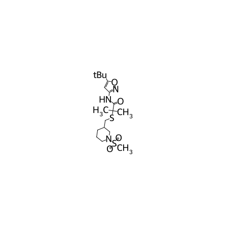 CC(C)(SCC1CCCN(S(C)(=O)=O)C1)C(=O)Nc1cc(C(C)(C)C)on1